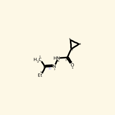 CC/C(C)=N/NC(=O)C1CC1